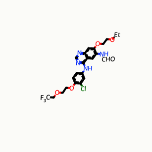 CCOCCOc1cc2ncnc(Nc3ccc(OCCOCC(F)(F)F)c(Cl)c3)c2cc1NC=O